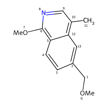 COCc1ccc2c(OC)ncc(C)c2c1